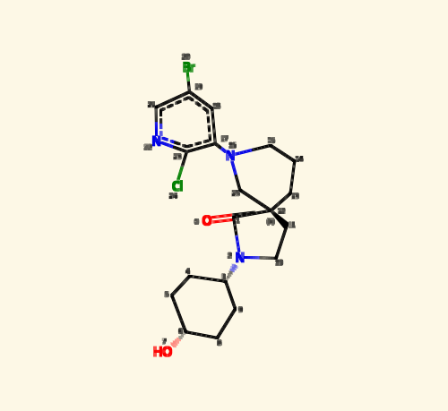 O=C1N([C@H]2CC[C@@H](O)CC2)CC[C@@]12CCCN(c1cc(Br)cnc1Cl)C2